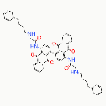 O=C(CNCCCCc1ccccc1)Nc1ccc(-c2ccc(NC(=O)CNCCCCc3ccccc3)c3c2C(=O)c2ccccc2C3=O)c2c1C(=O)c1ccccc1C2=O